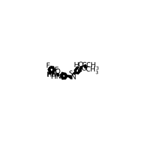 CC(C)(C)OC(=O)N1CCC(c2ncc(-c3ccc(NC(=O)Nc4c(F)cc(F)cc4F)cc3)s2)CC1